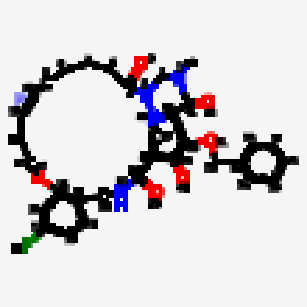 CN1CN2C(=O)CCCC/C=C\CCOc3cc(F)ccc3CNC(=O)c3cn2c(c(OCc2ccccc2)c3=O)C1=O